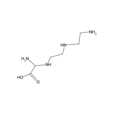 NCCNCCNC(N)C(=O)O